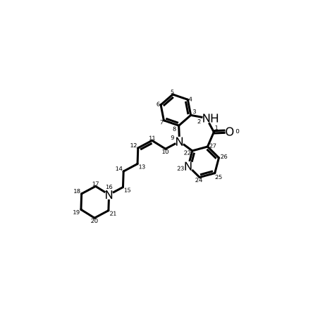 O=C1Nc2ccccc2N(C/C=C\CCCN2CCCCC2)c2ncccc21